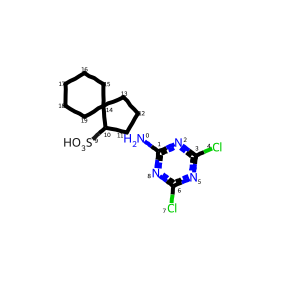 Nc1nc(Cl)nc(Cl)n1.O=S(=O)(O)C1CCCC12CCCCC2